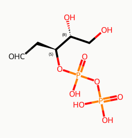 O=CC[C@H](OP(=O)(O)OP(=O)(O)O)[C@H](O)CO